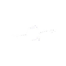 CCCC(C)c1cnc(OC)nc1